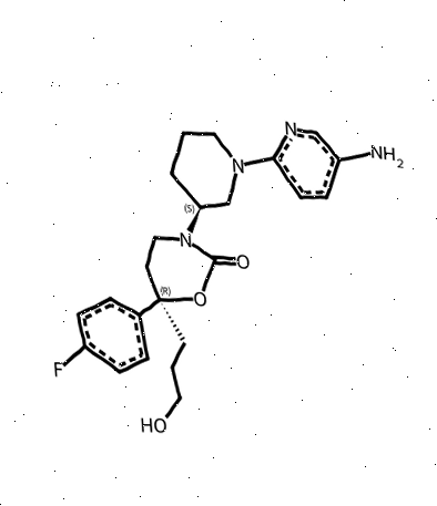 Nc1ccc(N2CCC[C@H](N3CC[C@](CCCO)(c4ccc(F)cc4)OC3=O)C2)nc1